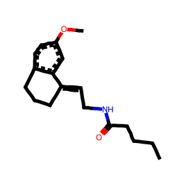 CCCCC(=O)NC/C=C1\CCCc2ccc(OC)cc21